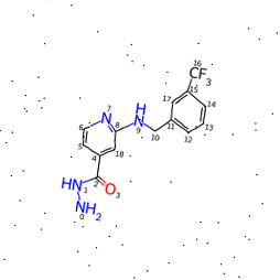 NNC(=O)c1ccnc(NCc2cccc(C(F)(F)F)c2)c1